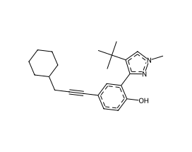 Cn1cc(C(C)(C)C)c(-c2cc(C#CCC3CCCCC3)ccc2O)n1